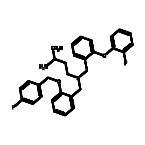 NC(CCN(Cc1ccccc1OCc1ccc(F)cc1)Cc1ccccc1Oc1ccccc1F)C(=O)O